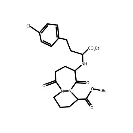 CCOC(=O)C(CCc1ccc(Cl)cc1)NC1CCC(=O)N2CCCC(C(=O)OC(C)(C)C)N2C1=O